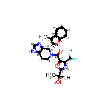 CC(C)(O)c1nc(C(F)F)c(C(=O)N2CCc3[nH]cnc3[C@@H]2c2oc3ccccc3c2C(F)(F)F)o1